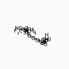 CC1(C)C(=O)N(c2ccc(C#N)c(C(F)(F)F)c2)C(=S)N1c1ccc(OCCCOCCCOCCNc2cccc3c2C(=O)N(C2CCC(=O)NC2=O)C3=O)cc1